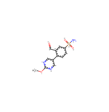 COc1ncc(-c2ccc(S(N)(=O)=O)cc2C=O)cn1